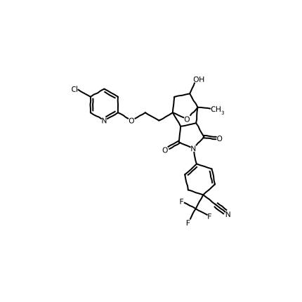 CC12OC(CCOc3ccc(Cl)cn3)(CC1O)C1C(=O)N(C3=CCC(C#N)(C(F)(F)F)C=C3)C(=O)C12